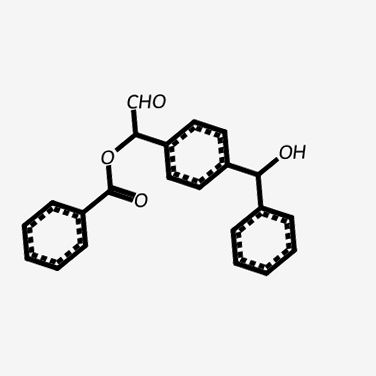 O=CC(OC(=O)c1ccccc1)c1ccc(C(O)c2ccccc2)cc1